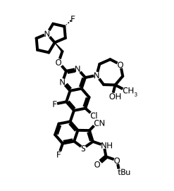 CC1(O)COCCN(c2nc(OC[C@@]34CCCN3C[C@H](F)C4)nc3c(F)c(-c4ccc(F)c5sc(NC(=O)OC(C)(C)C)c(C#N)c45)c(Cl)cc23)C1